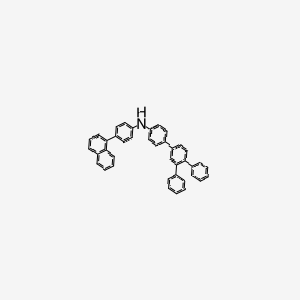 c1ccc(-c2ccc(-c3ccc(Nc4ccc(-c5cccc6ccccc56)cc4)cc3)cc2-c2ccccc2)cc1